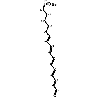 [CH]=C/C=C/C=C/C=C/C=C/C=C/CCCCCCCCCCCCCCC